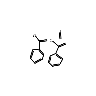 C=C(Cl)c1ccccc1.C=C(Cl)c1ccccc1.C=O